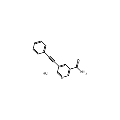 Cl.NC(=O)c1cncc(C#Cc2ccccc2)c1